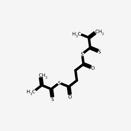 C=C(C)C(=S)SC(=O)CCC(=O)SC(=S)C(=C)C